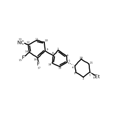 CC[C@H]1CC[C@H](c2ccc(-c3ccc(C#N)c(F)c3F)cc2)CC1